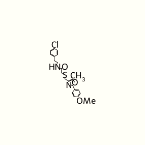 COc1ccc(-c2nc(CSCC(=O)NCCc3ccc(Cl)cc3)c(C)o2)cc1